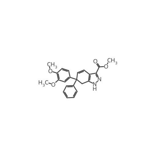 COC(=O)c1n[nH]c2c1C=CC(c1ccccc1)(c1ccc(OC)c(OC)c1)C2